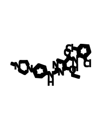 CCOc1nc(Nc2ccc(N3CCN(C)CC3)cc2)ncc1C(=O)Nc1c(Cl)cccc1Cl